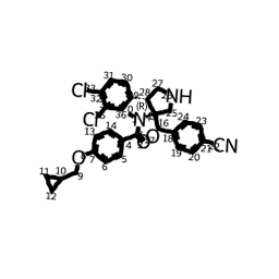 CN(C(=O)c1ccc(OCC2CC2)cc1)[C@]1(C(=O)c2ccc(C#N)cc2)CNC[C@H]1c1ccc(Cl)c(Cl)c1